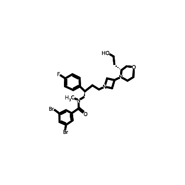 CN(C[C@@H](CCN1CC(N2CCOC[C@H]2CCO)C1)c1ccc(F)cc1)C(=O)c1cc(Br)cc(Br)c1